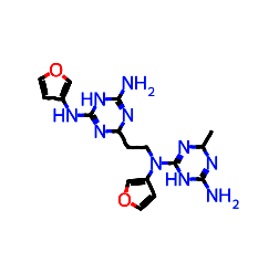 CC1N=C(N)NC(N(CCC2N=C(N)NC(Nc3ccoc3)=N2)c2ccoc2)=N1